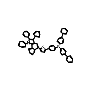 c1ccc(-c2ccc(N(c3ccc(-c4ccccc4)cc3)c3ccc(-c4ccc(-c5cc6c(-c7ccccc7)c(-c7ccccc7)n(-c7ccccc7)c6c6ccccc56)s4)cc3)cc2)cc1